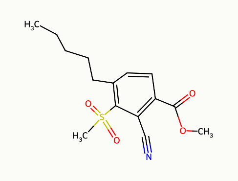 CCCCCc1ccc(C(=O)OC)c(C#N)c1S(C)(=O)=O